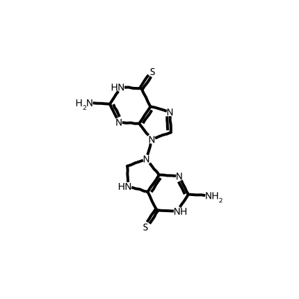 Nc1nc2c(c(=S)[nH]1)NCN2n1cnc2c(=S)[nH]c(N)nc21